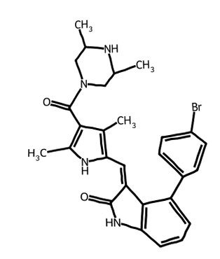 Cc1[nH]c(C=C2C(=O)Nc3cccc(-c4ccc(Br)cc4)c32)c(C)c1C(=O)N1CC(C)NC(C)C1